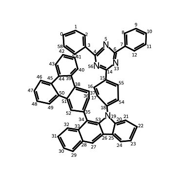 c1ccc(-c2nc(-c3ccccc3)nc(-c3ccc(-n4c5ccccc5c5cc6ccccc6c(-c6ccc7c8ccccc8c8ccccc8c7c6)c54)cc3)n2)cc1